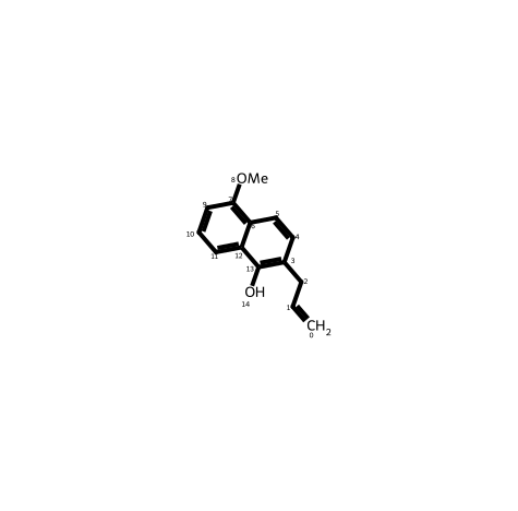 C=CCc1ccc2c(OC)cccc2c1O